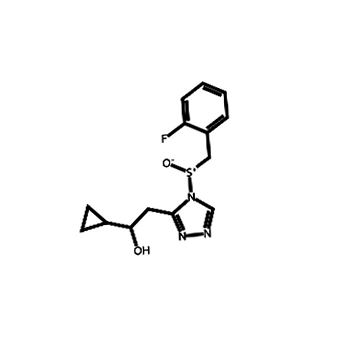 [O-][S+](Cc1ccccc1F)n1cnnc1CC(O)C1CC1